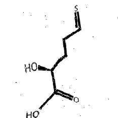 O=C(O)[C@@H](O)CCC=S